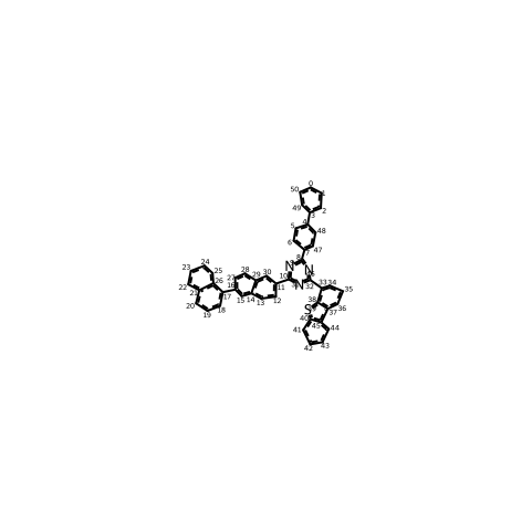 c1ccc(-c2ccc(-c3nc(-c4ccc5cc(-c6cccc7ccccc67)ccc5c4)nc(-c4cccc5c4sc4ccccc45)n3)cc2)cc1